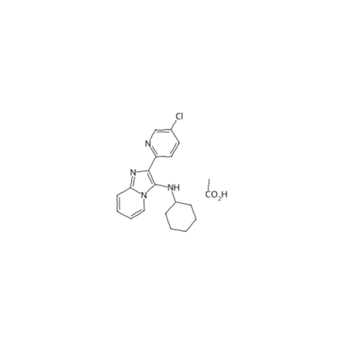 CC(=O)O.Clc1ccc(-c2nc3ccccn3c2NC2CCCCC2)nc1